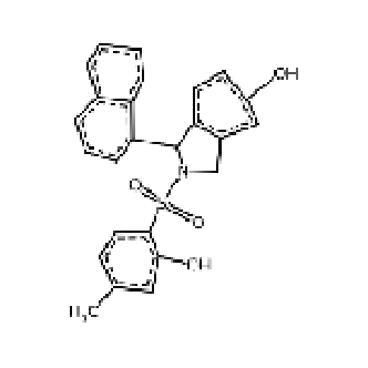 Cc1ccc(S(=O)(=O)N2Cc3cc(O)ccc3C2c2cccc3ccccc23)c(O)c1